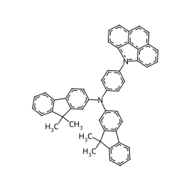 CC1(C)c2ccccc2-c2ccc(N(c3ccc(-n4c5cccc6ccc7cccc4c7c65)cc3)c3ccc4c(c3)C(C)(C)c3ccccc3-4)cc21